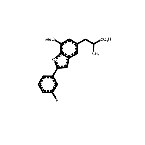 COc1cc(CC(C)C(=O)O)cc2cc(-c3cccc(F)c3)oc12